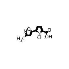 Cc1cc(-c2ccc(C(=O)O)n2Cl)on1